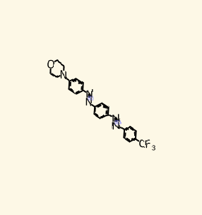 FC(F)(F)c1ccc(/N=N/c2ccc(/N=N/c3ccc(N4CCOCC4)cc3)cc2)cc1